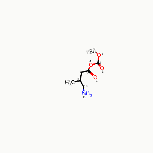 CCCCOC(=O)OC(=O)CC(C)CN